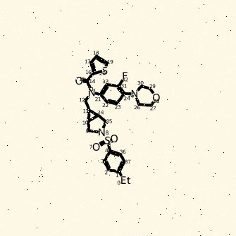 CCc1ccc(S(=O)(=O)N2CC3C(CN(C(=O)c4cccs4)c4ccc(N5CCOCC5)c(F)c4)C3C2)cc1